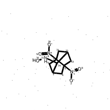 O=[N+]([O-])C12CC3CC1([N+](=O)[O-])CC(C2)C3NO